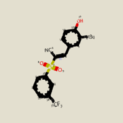 CC(C)(C)c1cc(/C=C(\C#N)S(=O)(=O)c2cccc(C(F)(F)F)c2)ccc1O